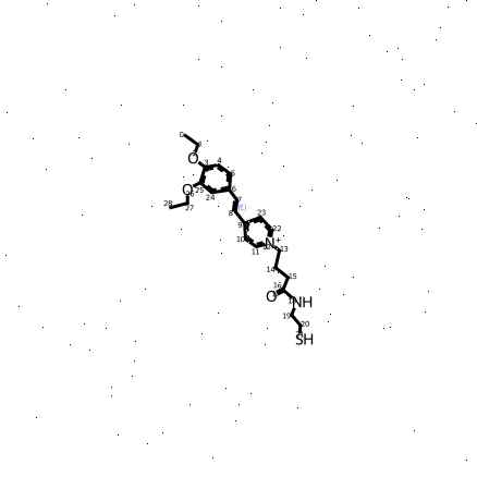 CCOc1ccc(/C=C/c2cc[n+](CCCC(=O)NCCS)cc2)cc1OCC